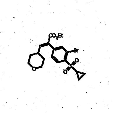 CCOC(=O)/C(=C/C1CCOCC1)c1ccc(S(=O)(=O)C2CC2)c(Br)c1